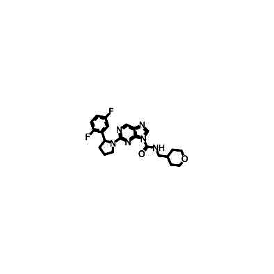 O=C(NCC1CCOCC1)n1cnc2cnc(N3CCCC3c3cc(F)ccc3F)nc21